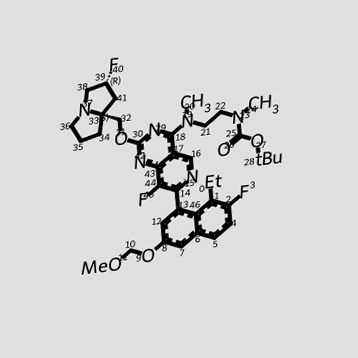 CCc1c(F)ccc2cc(OCOC)cc(-c3ncc4c(N(C)CCN(C)C(=O)OC(C)(C)C)nc(OC[C@@]56CCCN5C[C@H](F)C6)nc4c3F)c12